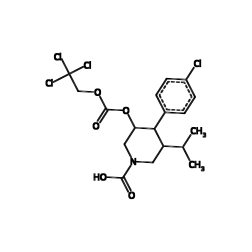 CC(C)C1CN(C(=O)O)CC(OC(=O)OCC(Cl)(Cl)Cl)C1c1ccc(Cl)cc1